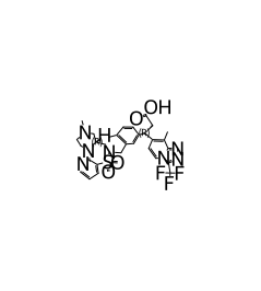 Cc1ccc([C@@H](CC(=O)O)c2ccn3c(C(F)(F)F)nnc3c2C)cc1CN1C[C@H]2CN(C)CCN2c2ncccc2S1(=O)=O